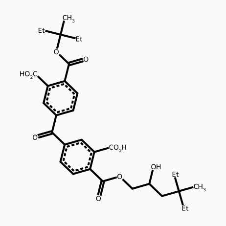 CCC(C)(CC)CC(O)COC(=O)c1ccc(C(=O)c2ccc(C(=O)OC(C)(CC)CC)c(C(=O)O)c2)cc1C(=O)O